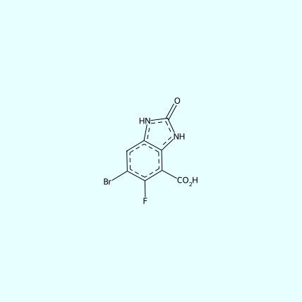 O=C(O)c1c(F)c(Br)cc2[nH]c(=O)[nH]c12